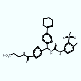 Cc1ccc(NC(=O)NC(c2ccc(C(=O)NCCC(=O)O)cc2)c2ccc(C3=CCCCC3)cc2)cc1S(C)(=O)=O